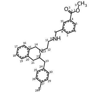 COC(=O)c1cccc(CNCCN2Cc3ccccc3CC2Cc2ccc(F)cc2)c1